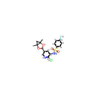 CC12CC1(C)OC(c1cnc(Cl)c(NS(=O)(=O)c3ccc(F)cc3)c1)O2